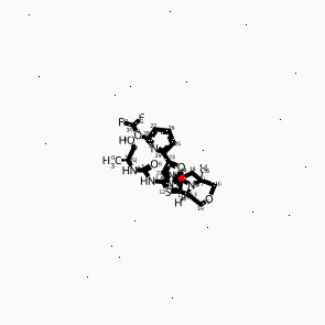 C[C@@H](CO)NC(=O)Nc1nc2c(s1)[C@@H]1COC[C@H](C2)N1c1ncc(-c2cccc(OC(F)F)n2)o1